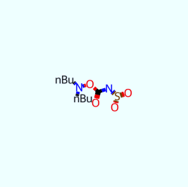 CCCCN(CCCC)OC(=O)N=S(=O)=O